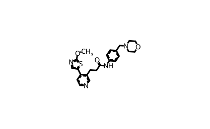 COc1ncc(-c2ccncc2CCC(=O)Nc2ccc(CN3CCOCC3)cc2)s1